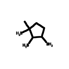 BC1CCC(B)(C)C1B